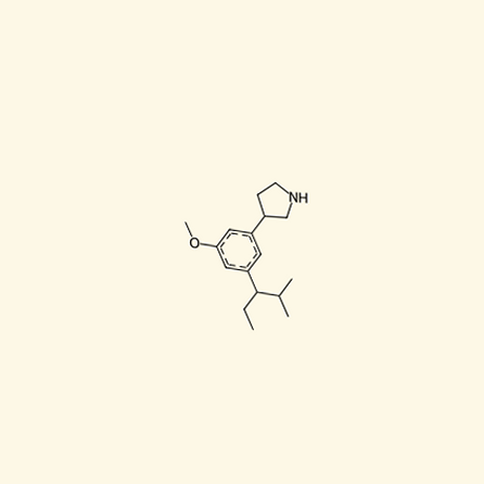 CCC(c1cc(OC)cc(C2CCNC2)c1)C(C)C